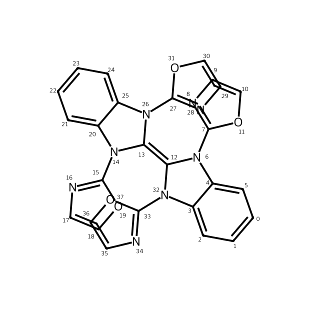 c1ccc2c(c1)N(c1ncco1)C(=C1N(c3ncco3)c3ccccc3N1c1ncco1)N2c1ncco1